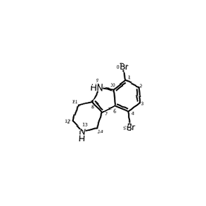 Brc1ccc(Br)c2c3c([nH]c12)CCNC3